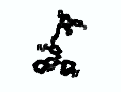 CCC(c1ccc(Cl)cc1)N(Cc1ccc(OCCN2C(=O)CN(C)C2=O)c(C)c1)CC1CCCCC1